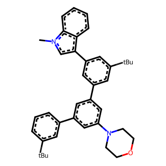 Cn1cc(-c2cc(-c3cc(-c4cccc(C(C)(C)C)c4)cc(N4CCOCC4)c3)cc(C(C)(C)C)c2)c2ccccc21